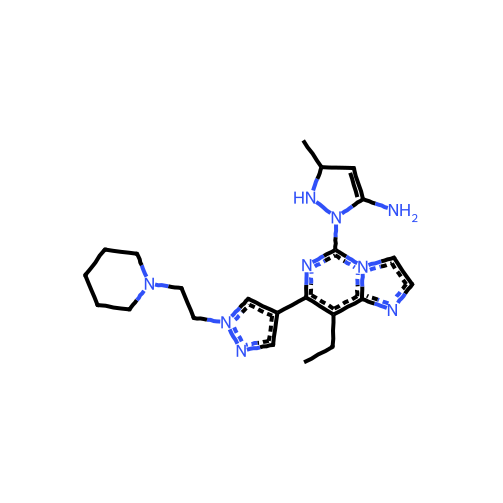 CCc1c(-c2cnn(CCN3CCCCC3)c2)nc(N2NC(C)C=C2N)n2ccnc12